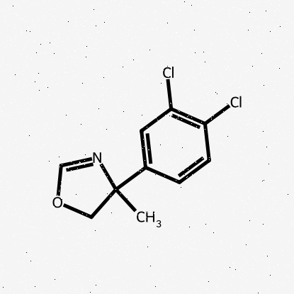 CC1(c2ccc(Cl)c(Cl)c2)COC=N1